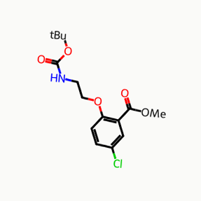 COC(=O)c1cc(Cl)ccc1OCCNC(=O)OC(C)(C)C